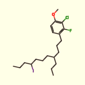 CCCC(I)CCCC(CCC)CCCc1ccc(OC)c(Cl)c1F